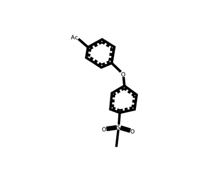 CC(=O)c1ccc(Oc2ccc(S(C)(=O)=O)cc2)cc1